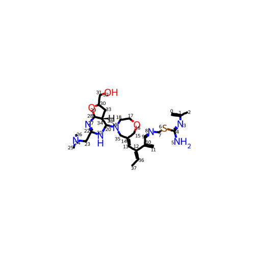 C=C(C)/N=C(/N)SC/N=C\C(=C)C(/C=C1\COCCN(C2NC(CN(C)C)=NC3OC(CO)C[C@@H]32)C1)=C/C